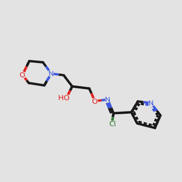 OC(CON=C(Cl)c1cccnc1)CN1CCOCC1